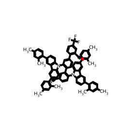 Cc1ccc(-c2ccc3c(c2)c2cc(-c4ccc(C)cc4C)ccc2n3-c2ccc(C#N)cc2-c2ccc(-c3ccc(C(F)(F)F)cc3C#N)cc2-n2c3ccc(-c4ccc(C)cc4C)cc3c3cc(-c4ccc(C)cc4C)ccc32)c(C)c1